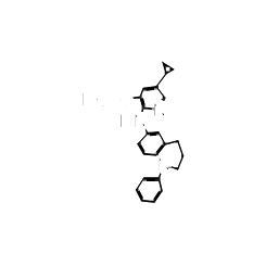 O=C(O)c1cc(C2CC2)cnc1Nc1ccc2c(c1)CCCN2c1ccccc1